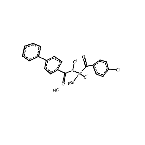 CC(C)(C)[N+](Cl)(C(=O)c1ccc(Cl)cc1)N(Cl)C(=O)c1ccc(-c2ccccc2)cc1.Cl